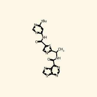 CC(NC(=O)c1ncnc2scnc12)c1ncc(C(=O)Nc2cc(C(C)(C)C)ncn2)s1